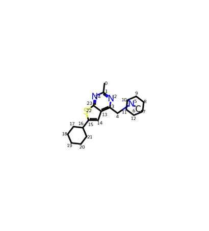 Cc1nc(CN2CC3CCC2CC3)c2cc(C3CCCCC3)sc2n1